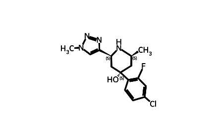 C[C@H]1C[C@@](O)(c2ccc(Cl)cc2F)C[C@@H](c2cn(C)nn2)N1